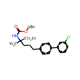 CCCCOC(=O)NC(C)(CCCc1ccc(-c2cccc(Cl)c2)cc1)C(=O)OCC